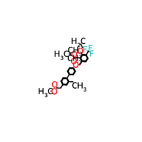 C=CCOc1c(C(F)(F)F)ccc(COc2ccc(-c3ccc(CC(=O)OC)cc3CC)cc2)c1C(=O)OC(C)(C)C